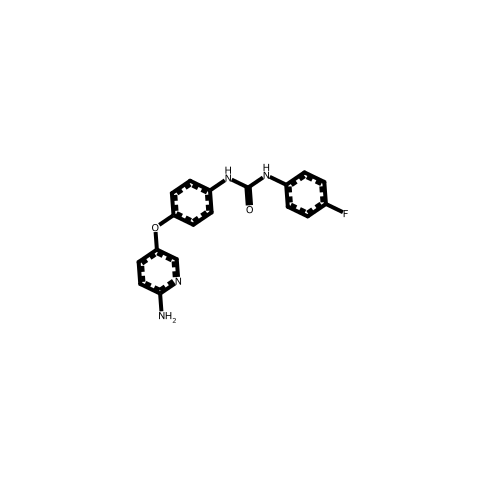 Nc1ccc(Oc2ccc(NC(=O)Nc3ccc(F)cc3)cc2)cn1